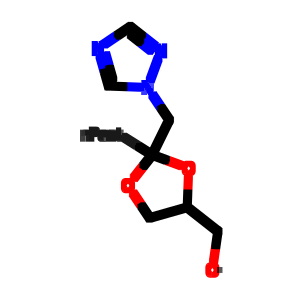 CCCCCC1(Cn2cncn2)OCC(C[O])O1